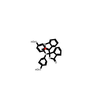 CCCCCCCCc1ccc(N(c2ccc(CCCCCCCC)cc2)C2(c3c(C)[nH]c4ccccc34)OC(=O)c3ccccc32)cc1